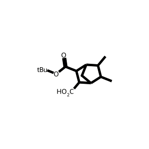 CC1C(C)C2CC1C(C(=O)O)C2C(=O)OC(C)(C)C